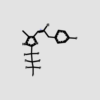 Cc1[nH]c(C(F)(F)C(F)(F)C(F)(F)F)nc1/C=C(/Cl)Cc1ccc(F)cc1